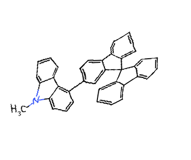 Cn1c2ccccc2c2c(-c3ccc4c(c3)C3(c5ccccc5-c5ccccc53)c3ccccc3-4)cccc21